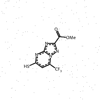 COC(=O)c1nc2nc(S)cc(C(F)(F)F)n2n1